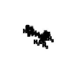 CCC(CCCCCCn1ccc(=O)[nH]c1=S)(CC(C)C)c1ccccc1